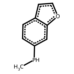 CPc1ccc2ccoc2c1